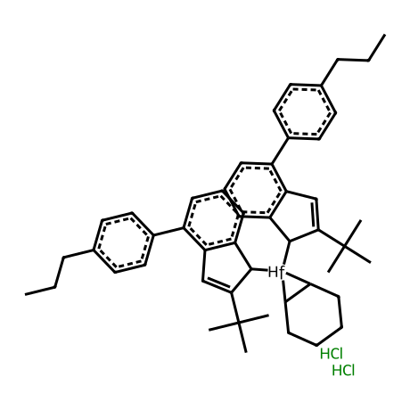 CCCc1ccc(-c2cccc3c2C=C(C(C)(C)C)[CH]3[Hf]2([CH]3C(C(C)(C)C)=Cc4c(-c5ccc(CCC)cc5)cccc43)[CH]3CCCC[CH]32)cc1.Cl.Cl